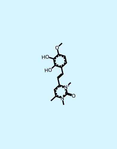 COc1ccc(C=Cc2cc(C)n(C)c(=O)[n+]2C)c(O)c1O